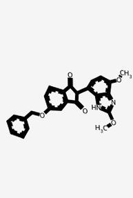 COc1nc2c(OC)ccc(C3C(=O)c4ccc(OCc5ccccc5)cc4C3=O)c2[nH]1